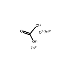 O=C(O)O.[O-2].[Zn+2].[Zn+2]